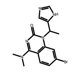 CC(c1cnc[nH]1)n1c(=O)nc(N(C)C)c2ccc(Br)cc21